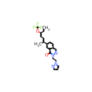 C=C/C(=C\C=C(/C)c1ccc2cnn(CCn3cccn3)c(=O)c2c1)OC(F)(F)F